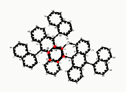 c1ccc2c(-c3c4ccccc4c(-c4cccc5ccccc45)c4c(Oc5cccc6c(-c7cccc8ccccc78)c7ccccc7c(-c7cccc8ccccc78)c56)cccc34)cccc2c1